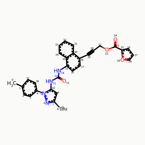 Cc1ccc(-n2nc(C(C)(C)C)cc2NC(=O)Nc2ccc(C#CCOC(=O)c3ccco3)c3ccccc23)cc1